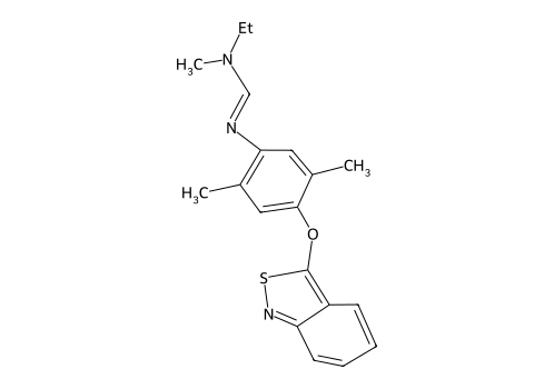 CCN(C)C=Nc1cc(C)c(Oc2snc3ccccc23)cc1C